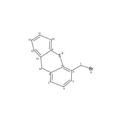 BrCc1cccc2c1Sc1ccccc1C2